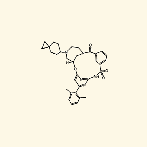 Cc1cccc(C)c1-c1cc2nc(n1)NS(=O)(=O)c1cccc(c1)C(=O)N1CCN(C3CCC4(CC3)CC4)C[C@H](C1)O2